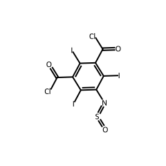 O=S=Nc1c(I)c(C(=O)Cl)c(I)c(C(=O)Cl)c1I